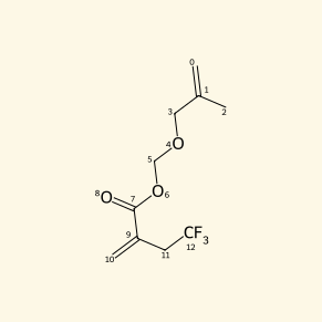 C=C(C)COCOC(=O)C(=C)CC(F)(F)F